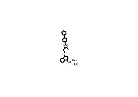 CCCO[C@@H](Cc1ccc(OCCc2nc(-c3ccc(-c4ccccc4)cc3)oc2C)c2ccccc12)C(=O)O